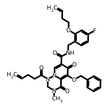 C=CCCOc1cc(F)ccc1CNC(=O)c1cn2c(c(OCc3ccccc3)c1=O)C(=O)N(C)CN2C(=O)CCC=C